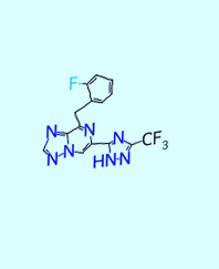 Fc1ccccc1Cc1nc(-c2nc(C(F)(F)F)n[nH]2)cn2ncnc12